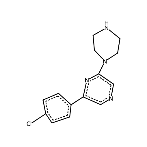 Clc1ccc(-c2cncc(N3CCNCC3)n2)cc1